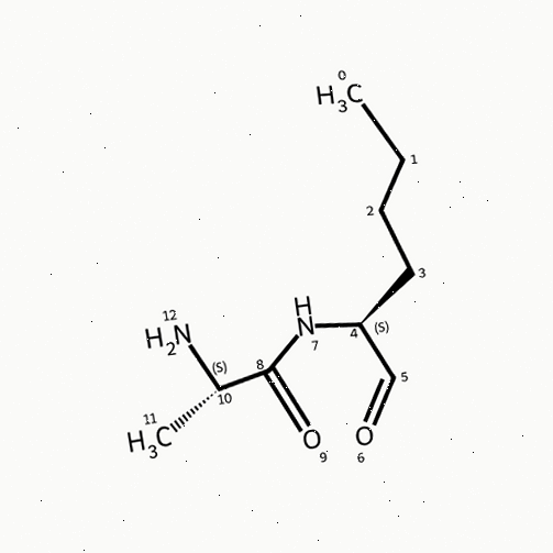 CCCC[C@@H](C=O)NC(=O)[C@H](C)N